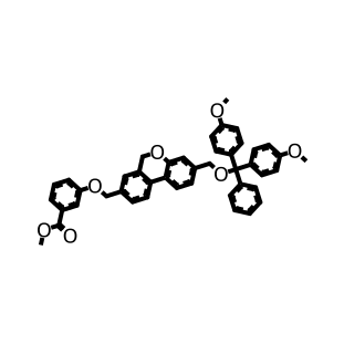 COC(=O)c1cccc(OCc2ccc3c(c2)COc2cc(COC(c4ccccc4)(c4ccc(OC)cc4)c4ccc(OC)cc4)ccc2-3)c1